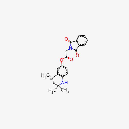 C[C@H]1CC(C)(C)Nc2ccc(OC(=O)CN3C(=O)c4ccccc4C3=O)cc21